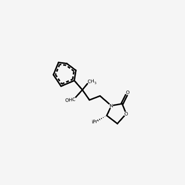 CC(C)[C@H]1COC(=O)N1CCC(C)(C=O)c1ccccc1